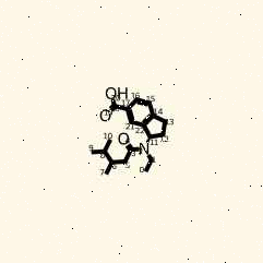 CCN(C(=O)CC(C)C(C)C)[C@@H]1CCc2ccc(C(=O)O)cc21